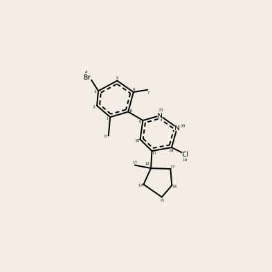 Cc1cc(Br)cc(C)c1-c1cc(C2(C)CCCC2)c(Cl)nn1